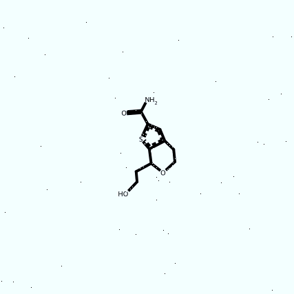 NC(=O)c1cc2c(s1)C(CCO)OCC2